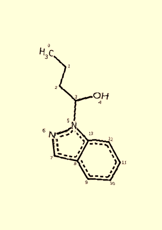 CCCC(O)n1ncc2ccccc21